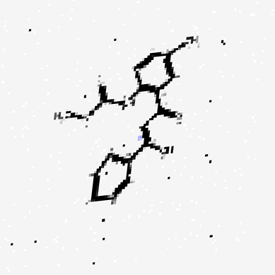 CSC(=S)Nc1ccc(C)cc1C(=O)/C=C(\O)c1ccccc1